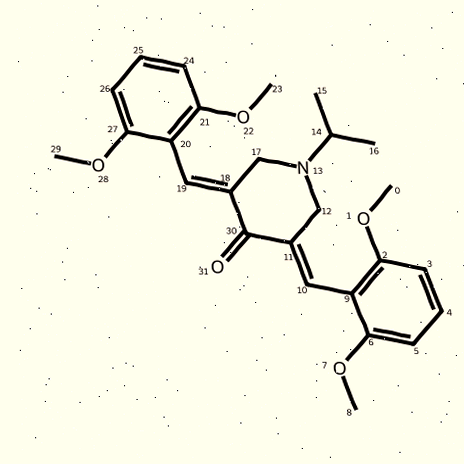 COc1cccc(OC)c1/C=C1\CN(C(C)C)C/C(=C\c2c(OC)cccc2OC)C1=O